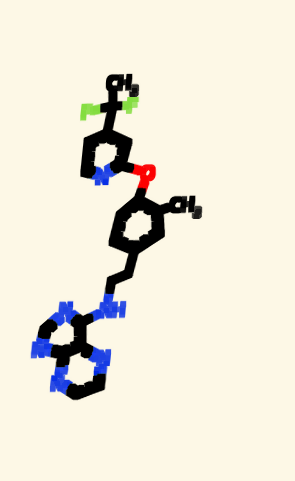 Cc1cc(CCNc2ncnc3nccnc23)ccc1Oc1cc(C(C)(F)F)ccn1